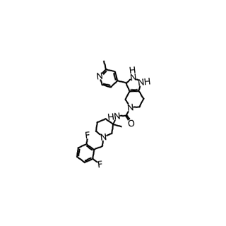 Cc1cc(C2NNC3=C2CN(C(=O)NC2(C)CCCN(Cc4c(F)cccc4F)C2)CC3)ccn1